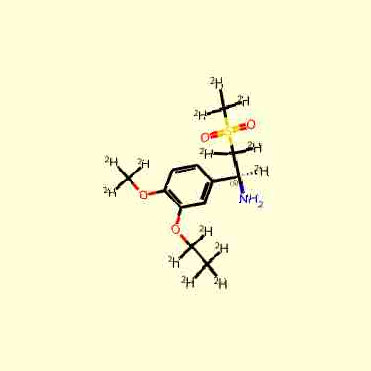 [2H]C([2H])([2H])Oc1ccc([C@]([2H])(N)C([2H])([2H])S(=O)(=O)C([2H])([2H])[2H])cc1OC([2H])([2H])C([2H])([2H])[2H]